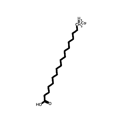 B.CCCCCCCCCCCCCCCCCC(=O)O.[Co]